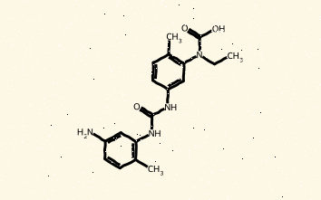 CCN(C(=O)O)c1cc(NC(=O)Nc2cc(N)ccc2C)ccc1C